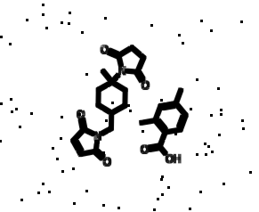 CC1(N2C(=O)CCC2=O)CCC(CN2C(=O)C=CC2=O)CC1.Cc1ccc(C(=O)O)c(C)c1